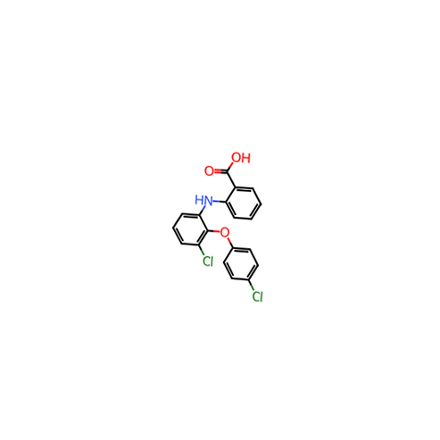 O=C(O)c1ccccc1Nc1cccc(Cl)c1Oc1ccc(Cl)cc1